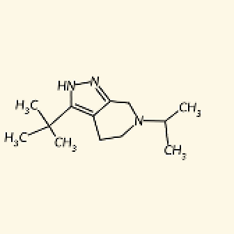 CC(C)N1CCc2c(n[nH]c2C(C)(C)C)C1